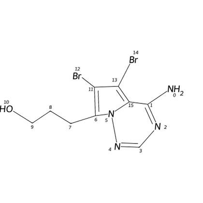 Nc1ncnn2c(CCCO)c(Br)c(Br)c12